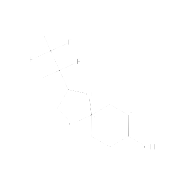 OC1CCC2(CC1)OCC(C(F)(F)C(F)(F)F)O2